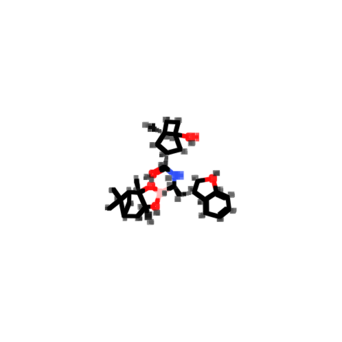 CC1(C)C2CC1[C@]1(C)OB([C@H](C[C@@H]3COc4ccccc43)NC(=O)[C@@H]3C[C@H]4CCC4(O)C3)O[C@@H]1C2